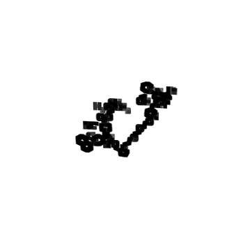 CCc1cnn2c(NCc3ccc(OCCOCCOCCCN4CCC[C@H]4COc4nc5c(c(N6CCN(C(=O)OCC[Si](C)(C)C)[C@@H](CC#N)C6)n4)CCN(c4cccc6cccc(Cl)c46)C5)nc3)cc(N3CCCC[C@H]3CCO)nc12